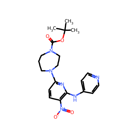 CC(C)(C)OC(=O)N1CCCN(c2ccc([N+](=O)[O-])c(Nc3ccncc3)n2)CC1